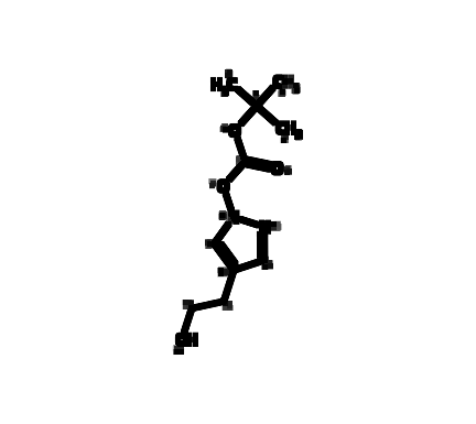 CC(C)(C)OC(=O)On1cc(CCO)cn1